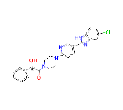 O=C([C@@H](O)c1ccccc1)N1CCN(c2ccc(-c3nc4cc(Cl)ccc4[nH]3)cn2)CC1